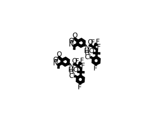 Cc1noc(=O)c2ccc(NC(=O)C(O)(CC(C)(C)c3ccc(F)cc3Cl)C(F)(F)F)cc12.Cc1noc(=O)c2ccc(NC(=O)C(O)(CC(C)(C)c3ccc(F)cc3Cl)C(F)(F)F)cc12